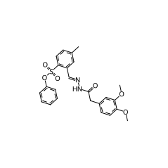 COc1ccc(CC(=O)NN=Cc2cc(C)ccc2S(=O)(=O)Oc2ccccc2)cc1OC